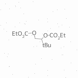 CCOC(=O)OCC(OC(=O)OCC)C(C)(C)C